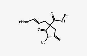 C=CCC(CC=CCCCCCCCCC)(C(=O)NCC)C(=O)NCC